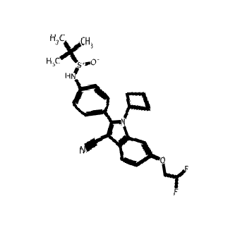 CC(C)(C)[S+]([O-])Nc1ccc(-c2c(C#N)c3ccc(OCC(F)F)cc3n2C2CCC2)cc1